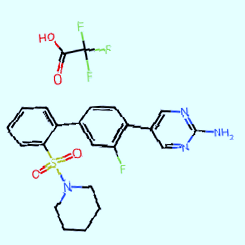 Nc1ncc(-c2ccc(-c3ccccc3S(=O)(=O)N3CCCCC3)cc2F)cn1.O=C(O)C(F)(F)F